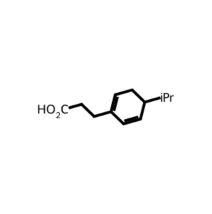 CC(C)C1C=CC(CCC(=O)O)=CC1